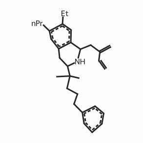 C=CC(=C)CC1NC(C(C)(C)CCCc2ccccc2)Cc2cc(CCC)c(CC)cc21